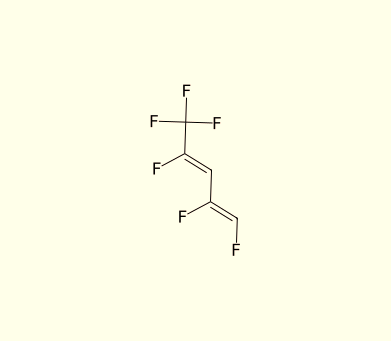 FC=C(F)C=C(F)C(F)(F)F